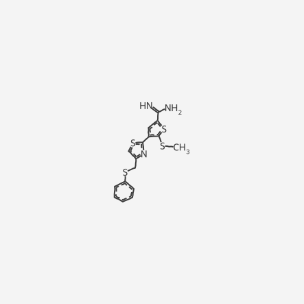 CSc1sc(C(=N)N)cc1-c1nc(CSc2ccccc2)cs1